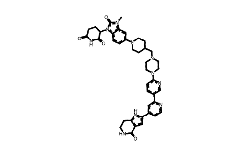 Cn1c(=O)n(C2CCC(=O)NC2=O)c2ccc(N3CCC(CN4CCN(c5ccc(-c6cc(-c7cc8c([nH]7)CCNC8=O)ccn6)cn5)CC4)CC3)cc21